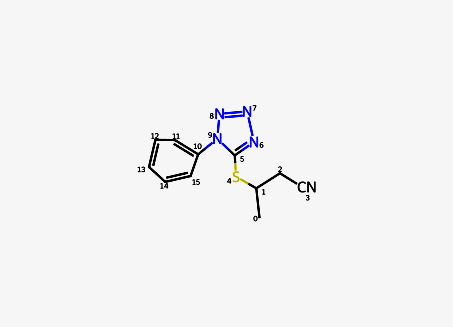 CC(CC#N)Sc1nnnn1-c1ccccc1